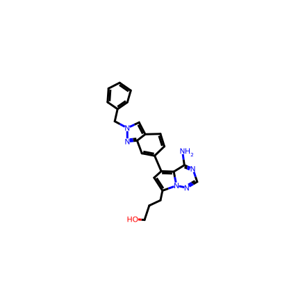 Nc1ncnn2c(CCCO)cc(-c3ccc4cn(Cc5ccccc5)nc4c3)c12